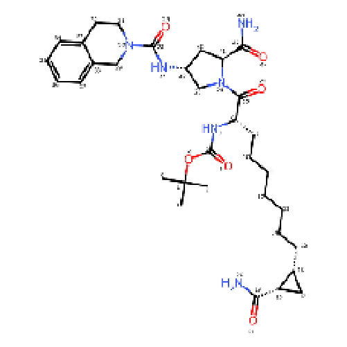 CC(C)(C)OC(=O)N[C@@H](CCCCCCC[C@@H]1C[C@@H]1C(N)=O)C(=O)N1C[C@H](NC(=O)N2CCc3ccccc3C2)C[C@H]1C(N)=O